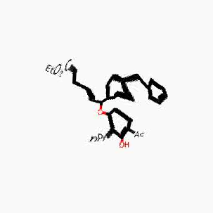 CCCc1c(OC(CCCCC(=O)OCC)c2ccc(Cc3ccccc3)cc2)ccc(C(C)=O)c1O